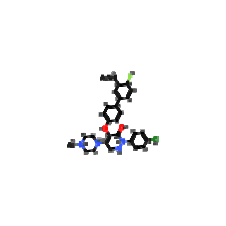 CC(=O)Nc1cc(-c2ccc(Oc3c(N4CCN(C(C)=O)CC4)cnn(-c4ccc(Cl)cc4)c3=O)cc2)ccc1F